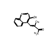 N#CC(=Cc1c(O)cnc2ccccc12)C(N)=O